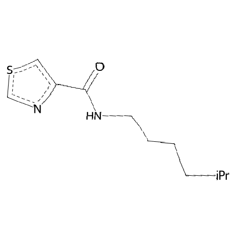 CC(C)CCCCNC(=O)c1cscn1